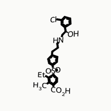 CCc1c(S(=O)(=O)c2ccc(CCCNC[C@H](O)c3cccc(Cl)c3)cc2)ccc(C(=O)O)c1C